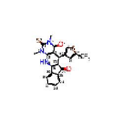 Cn1c2c(c(=O)n(C)c1=S)C(c1csc(C(F)(F)F)c1)C1=C(N2)c2ccccc2C1=O